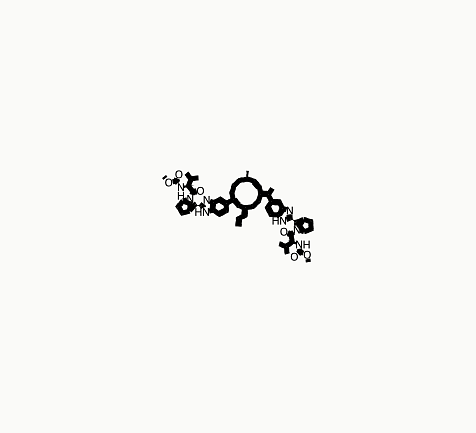 C=C/C=C1\C=C(\c2ccc3[nH]c([C@@H]4C5CCC(C5)N4C(=O)[C@@H](NC(=O)OC)C(C)C)nc3c2)CCC[C@@H](C)/C=C\C(=C(/C)c2ccc3[nH]c([C@@H]4C5CCC(C5)N4C(=O)[C@@H](NC(=O)OC)C(C)C)nc3c2)CC1